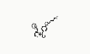 O=C(c1ccc(OCCCCF)cc1)N1CCC[C@H]1CN1CCCC1